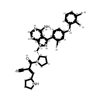 N#C/C(=C\C1CCCN1)C(=O)N1CCC[C@H]1Cn1nc(-c2ccc(Oc3cccc(F)c3F)cc2F)c2c(N)ncnc21